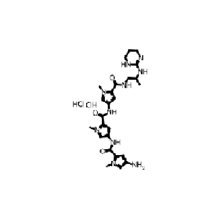 CC(CNC(=O)c1cc(NC(=O)c2cc(NC(=O)c3cc(N)cn3C)cn2C)cn1C)NC1=NCCCN1.Cl.Cl